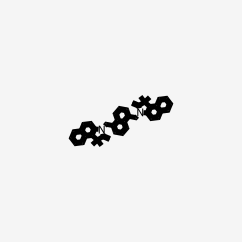 C=C1N(Cc2cccc3c(CN4C(=C)C(C)(C)c5c4ccc4ccccc54)cccc23)c2ccc3ccccc3c2C1(C)C